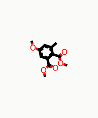 COC(=O)c1cc(OC)cc(C)c1C(=O)OC